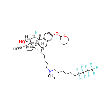 C#C[C@]1(O)CC[C@H]2[C@@H]3[C@H](CCCCCN(C)CCCCCCC(F)(F)C(F)(F)C(F)(F)C(F)(F)F)Cc4cc(OC5CCCCO5)ccc4[C@H]3[C@@H](F)C[C@@]21C